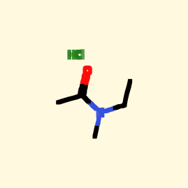 CCN(C)C(C)=O.Cl